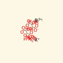 O.O.O.O.O=C([O-])C(O)C(O)C(=O)[O-].O=C([O-])C(O)C(O)C(=O)[O-].[Bi+3].[K+]